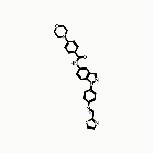 O=C(Nc1ccc2c(cnn2-c2ccc(/N=C/c3nccs3)cc2)c1)c1ccc(N2CCOCC2)cc1